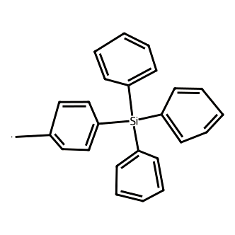 [CH2]c1ccc([Si](c2ccccc2)(c2ccccc2)c2ccccc2)cc1